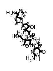 C[C@]1(COP(=O)(S)[C@H]2[C@H](n3nnc4c(=O)[nH]c(N)nc43)OC[C@]2(F)CCO)O[C@@H](n2cnc3c(N)ncnc32)C[C@@H]1O